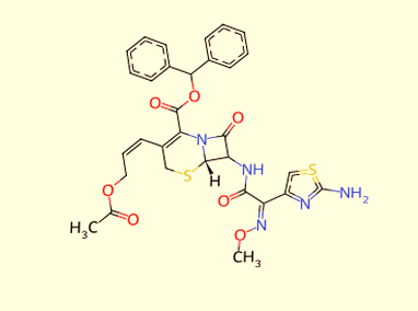 CO/N=C(\C(=O)NC1C(=O)N2C(C(=O)OC(c3ccccc3)c3ccccc3)=C(/C=C\COC(C)=O)CS[C@@H]12)c1csc(N)n1